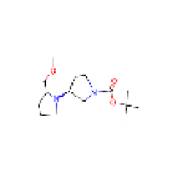 COC[C@@H]1CCCN1[C@H]1CCN(C(=O)OC(C)(C)C)C1